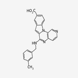 Cc1cccc(CNc2nc3ccncc3n3c2cc2cc(C(=O)O)ccc23)c1